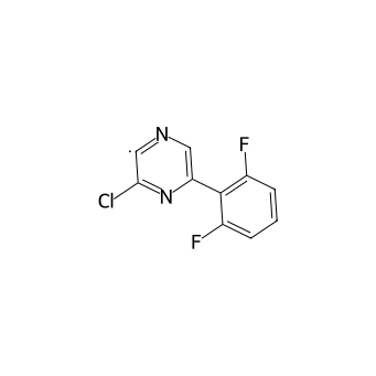 Fc1cccc(F)c1-c1cn[c]c(Cl)n1